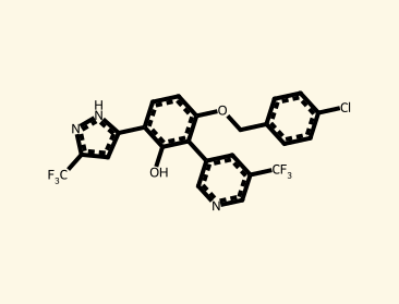 Oc1c(-c2cc(C(F)(F)F)n[nH]2)ccc(OCc2ccc(Cl)cc2)c1-c1cncc(C(F)(F)F)c1